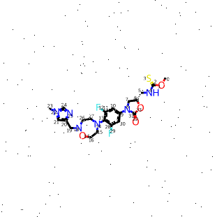 COC(=S)NC[C@H]1CN(c2cc(F)c(N3CCON(Cc4cn(C)cn4)CC3)c(F)c2)C(=O)O1